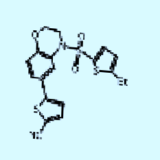 CCc1ccc(S(=O)(=O)N2CCOc3ccc(-c4ccc(C#N)s4)cc32)s1